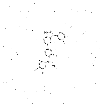 Cc1cc(-c2n[nH]c3ccc(-c4ccn([C@H](CO)c5ccc(Cl)c(F)c5)c(=O)c4)cc23)ccn1